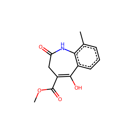 COC(=O)C1=C(O)c2cccc(C)c2NC(=O)C1